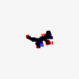 CC(=O)Nc1cccc(-c2c(N=Nc3ccc(CCCOC=O)cc3)sc(N=Nc3cc(OCCCS(=O)(=O)O)c(N=Nc4c(C)c(C#N)c5nc6ccccc6n5c4O)cc3C)c2C#N)c1